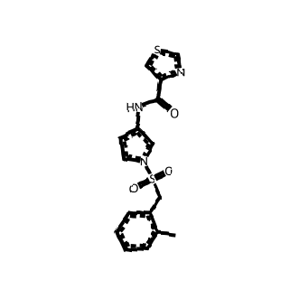 Cc1ccccc1CS(=O)(=O)n1ccc(NC(=O)c2cscn2)c1